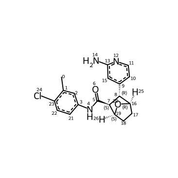 Cc1cc(NC(=O)[C@H]2[C@H](c3ccnc(N)c3)[C@H]3CC[C@@H]2O3)ccc1Cl